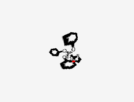 c1ccc(O[PH](Oc2ccccc2)(Oc2ccccc2)c2ncc[nH]2)cc1